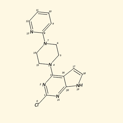 Clc1nc(N2CCN(c3ccccn3)CC2)c2cc[nH]c2n1